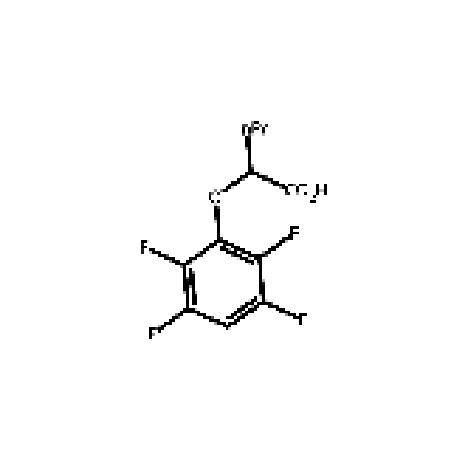 CCCC(Oc1c(F)c(F)cc(F)c1F)C(=O)O